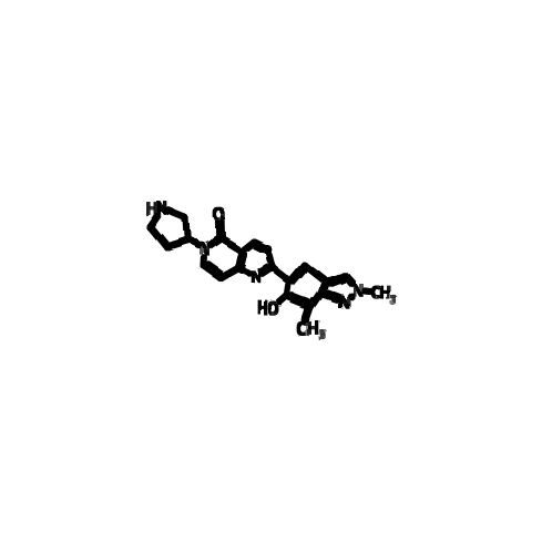 Cc1c(O)c(-c2ccc3c(=O)n(C4CCNC4)ccc3n2)cc2cn(C)nc12